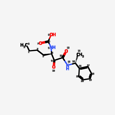 CCCC[C@@H](NC(=O)O)C(=O)C(=O)N[C@H](C)c1ccccc1